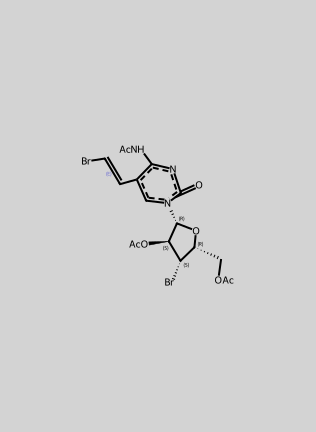 CC(=O)Nc1nc(=O)n([C@@H]2O[C@H](COC(C)=O)[C@H](Br)[C@H]2OC(C)=O)cc1/C=C/Br